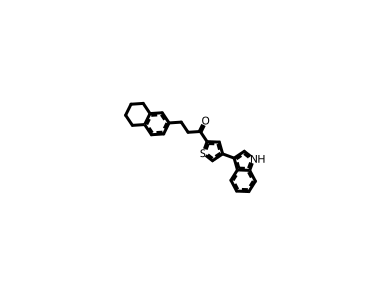 O=C(CCc1ccc2c(c1)CCCC2)c1cc(-c2c[nH]c3ccccc23)cs1